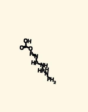 O=C(O)OP=NPNPNP